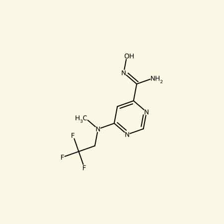 CN(CC(F)(F)F)c1cc(C(N)=NO)ncn1